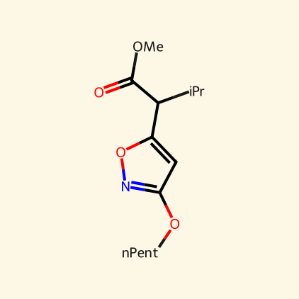 CCCCCOc1cc(C(C(=O)OC)C(C)C)on1